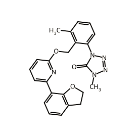 Cc1cccc(-n2nnn(C)c2=O)c1COc1cccc(-c2cccc3c2OCC3)n1